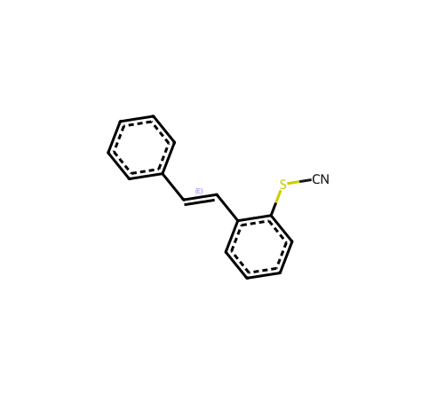 N#CSc1ccccc1/C=C/c1ccccc1